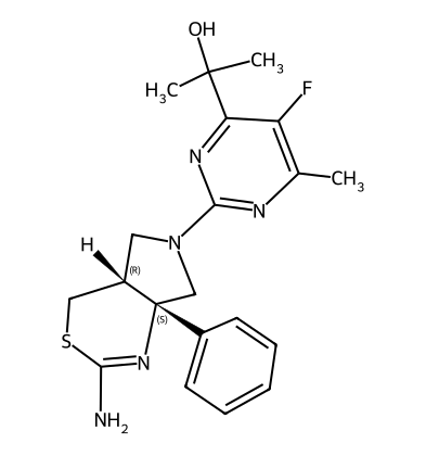 Cc1nc(N2C[C@H]3CSC(N)=N[C@@]3(c3ccccc3)C2)nc(C(C)(C)O)c1F